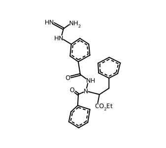 CCOC(=O)C(Cc1ccccc1)N(NC(=O)c1cccc(NC(=N)N)c1)C(=O)c1ccccc1